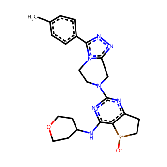 Cc1ccc(-c2nnc3n2CCN(c2nc4c(c(NC5CCOCC5)n2)[S+]([O-])CC4)C3)cc1